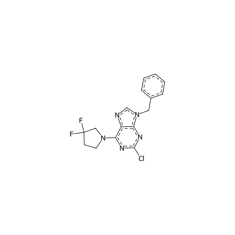 FC1(F)CCN(c2nc(Cl)nc3c2ncn3Cc2ccccc2)C1